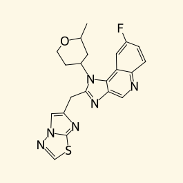 CC1CC(n2c(Cc3cn4ncsc4n3)nc3cnc4ccc(F)cc4c32)CCO1